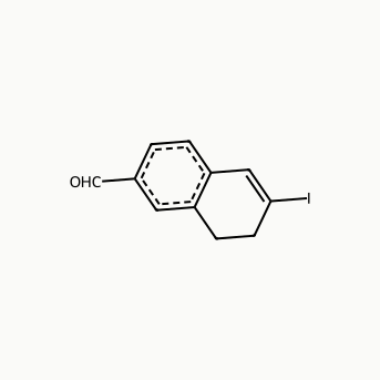 O=Cc1ccc2c(c1)CCC(I)=C2